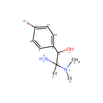 CCN(C)C(N)(CC)C(O)c1ccc(I)cc1